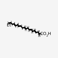 CC/C=C\C/C=C/C/C=C/C/C=C/C/C=C/C/C=C/CC(C)C(=O)O